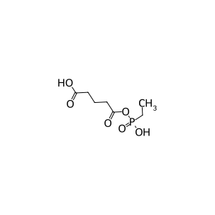 CCP(=O)(O)OC(=O)CCCC(=O)O